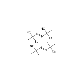 CC(C)(C#N)N=NC(C)(C)C#N.CCC(C)(C#N)N=NC(C)(C#N)CC